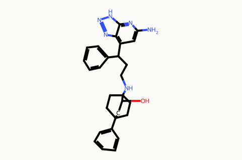 Nc1cc(C(CCNC23CCC(c4ccccc4)(CC2)CC3O)c2ccccc2)c2nn[nH]c2n1